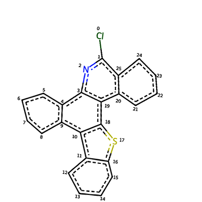 Clc1nc2c3ccccc3c3c4ccccc4sc3c2c2ccccc12